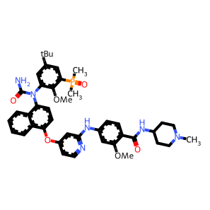 COc1cc(Nc2cc(Oc3ccc(N(C(N)=O)c4cc(C(C)(C)C)cc(P(C)(C)=O)c4OC)c4ccccc34)ccn2)ccc1C(=O)NC1CCN(C)CC1